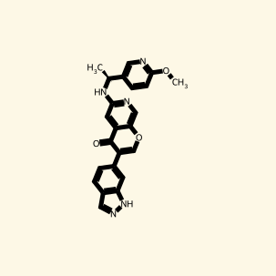 COc1ccc([C@H](C)Nc2cc3c(=O)c(-c4ccc5cn[nH]c5c4)coc3cn2)cn1